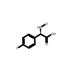 O=C(O)[C@H](NCl)c1ccc(F)cc1